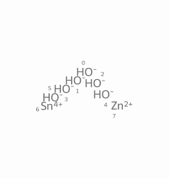 [OH-].[OH-].[OH-].[OH-].[OH-].[OH-].[Sn+4].[Zn+2]